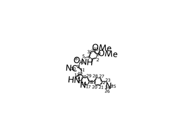 COc1ccc(CNC(=O)/C(C#N)=C/c2c[nH]c3ncc(-c4ccc(CN(C)C)cc4)cc23)cc1OC